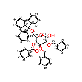 O=C(O[C@H]1[C@H](OCc2ccccc2)[C@@H](OCc2ccccc2)[C@@H](O)O[C@@H]1COC(c1ccccc1)(c1ccccc1)c1ccccc1)c1ccccc1